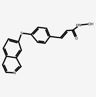 O=C(/C=C/c1ccc(Sc2ccc3ccncc3c2)cc1)NO